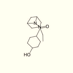 CCN1CC2CC(C1)N2C(=O)C1CCC(O)CC1